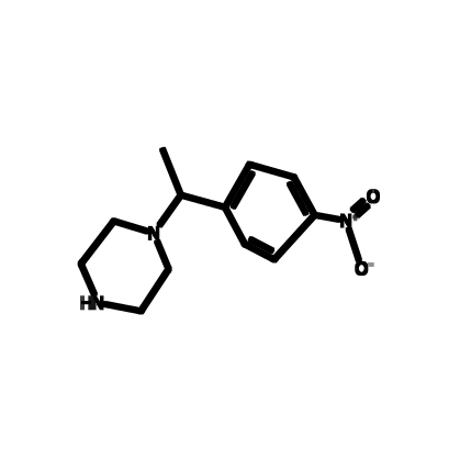 CC(c1ccc([N+](=O)[O-])cc1)N1CCNCC1